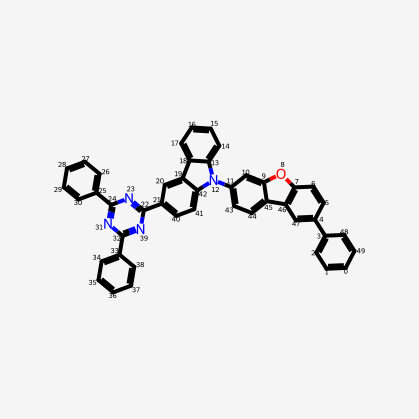 c1ccc(-c2ccc3oc4cc(-n5c6ccccc6c6cc(-c7nc(-c8ccccc8)nc(-c8ccccc8)n7)ccc65)ccc4c3c2)cc1